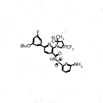 CC(C)COc1cc(F)cc(-c2ccc(C(=O)NS(=O)(=O)c3cccc(N)n3)c(N3C[C@H](C(F)(F)F)CC3(C)C)n2)c1